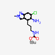 Cn1cc2c(CCCNC(=O)OC(C)(C)C)c(N)c(Cl)cc2n1